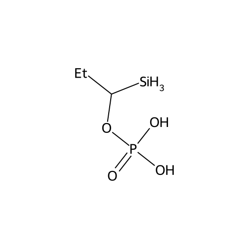 CCC([SiH3])OP(=O)(O)O